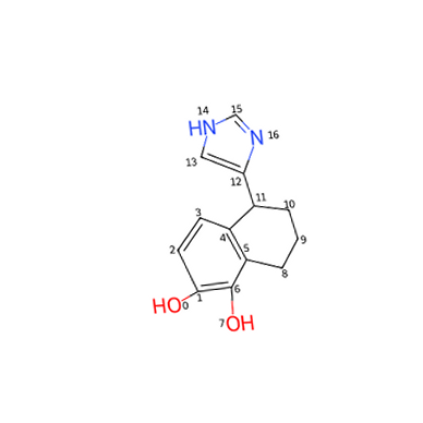 Oc1ccc2c(c1O)CCCC2c1c[nH]cn1